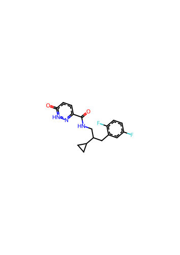 O=C(NCC(Cc1cc(F)ccc1F)C1CC1)c1ccc(=O)[nH]n1